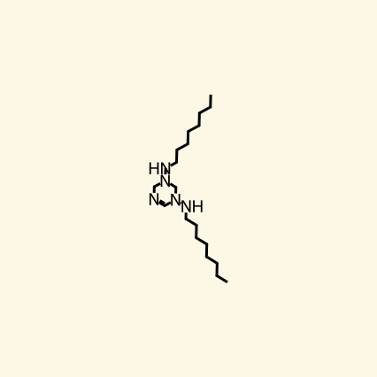 CCCCCCCCNN1C=NCN(NCCCCCCCC)C1